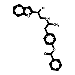 CC(Cc1ccc(OC(=O)c2ccccc2)cc1)NCC(O)c1cc2ccccc2o1